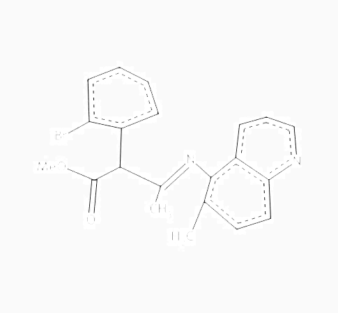 COC(=O)C(/C(C)=N/c1c(C)ccc2ncccc12)c1ccccc1Br